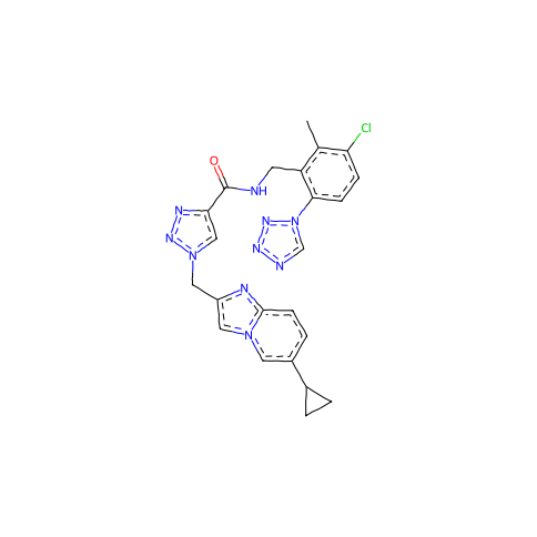 Cc1c(Cl)ccc(-n2cnnn2)c1CNC(=O)c1cn(Cc2cn3cc(C4CC4)ccc3n2)nn1